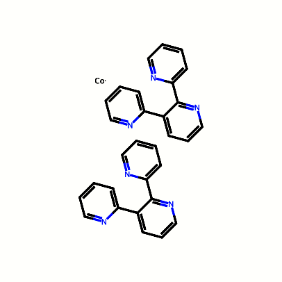 [Co].c1ccc(-c2cccnc2-c2ccccn2)nc1.c1ccc(-c2cccnc2-c2ccccn2)nc1